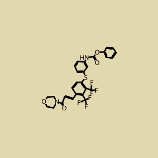 O=C(Nc1cccc(Sc2ccc(C=CC(=O)N3CCOCC3)c(C(F)(F)F)c2C(F)(F)F)c1)Oc1ccccc1